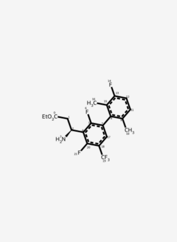 CCOC(=O)C[C@H](N)c1c(F)c(-c2c(C)ccc(F)c2C)cc(C(F)(F)F)c1F